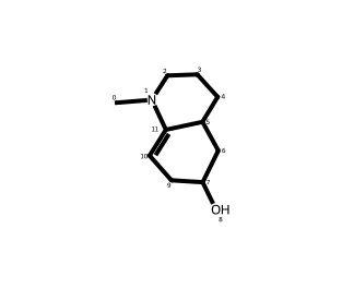 CN1CCCC2CC(O)CC=C21